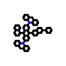 c1ccc(-c2ccc3cc(-c4c5cc(N6c7ccccc7Cc7ccccc76)ccc5c(-c5cccc6ccccc56)c5cc(N6c7ccccc7Cc7ccccc76)ccc45)ccc3c2)cc1